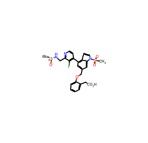 CC(C)(C)[S@+]([O-])NCc1nccc(-c2cc(COc3ccccc3CC(=O)O)cc3c2ccn3S(C)(=O)=O)c1F